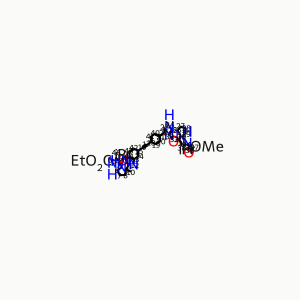 CCOC(=O)N[C@H](C(=O)N1CCCC1(C)c1nc2cc(C#Cc3ccc(-c4c[nH]c([C@@H]5CCCN5C(=O)[C@@H](NC(=O)OC)C(C)C)n4)cc3)ccc2[nH]1)C(C)C